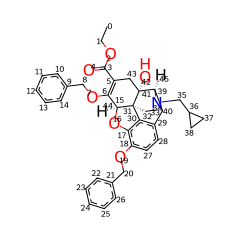 CCOC(=O)C1=C(OCc2ccccc2)[C@@H]2Oc3c(OCc4ccccc4)ccc4c3[C@@]23CCN(CC2CC2)[C@H](C4)[C@]3(O)C1